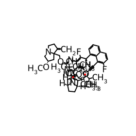 C=C1CCN2C[C@@H](OC)CC12COc1nc2c3c(nc(-c4cccc5ccc(F)c(C#C[Si](C(C)C)(C(C)C)C(C)C)c45)c(F)c3n1)O[C@@H](C)C1[C@@H]3CC[C@H](CN21)N3C(=O)OC(C)(C)C